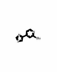 CC(C)(C)c1cc(-c2cscn2)ccn1